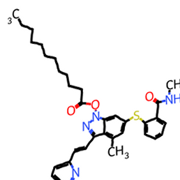 CCCCCCCCCCCC(=O)On1nc(/C=C/c2ccccn2)c2c(C)cc(Sc3ccccc3C(=O)NC)cc21